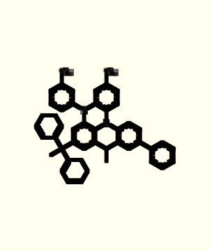 CC1c2cc(-c3ccccc3)ccc2B2c3ccc(C(C)(C)C)cc3N(c3cccc(C(C)(C)C)c3)c3cc(C(C)(C4=CCCC=C4)C4=CC=CCC4)cc1c32